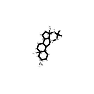 CC1(C)OC[C@]23CCC4C(CC[C@H]5C[C@@H](O)CCC45)C2CC[C@@H]3O1